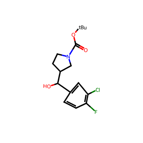 CC(C)(C)OC(=O)N1CCC(C(O)c2ccc(F)c(Cl)c2)C1